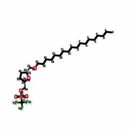 CCCCCCCCCCCCCCCCCCOC[C@H]1CC[C@@H](COS(=O)(=O)C(F)(F)F)O1